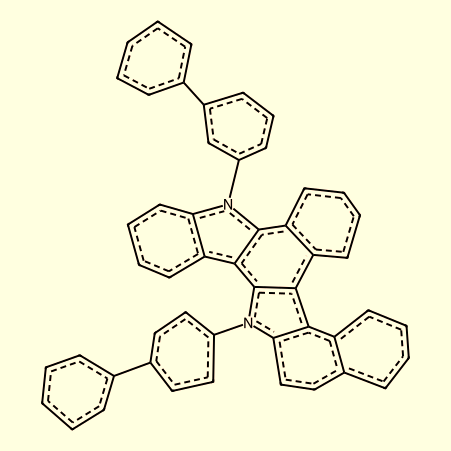 c1ccc(-c2ccc(-n3c4ccc5ccccc5c4c4c5ccccc5c5c(c6ccccc6n5-c5cccc(-c6ccccc6)c5)c43)cc2)cc1